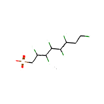 O=S(=O)([O-])CC(F)C(F)C(F)C(F)C(F)CCF.[Na+]